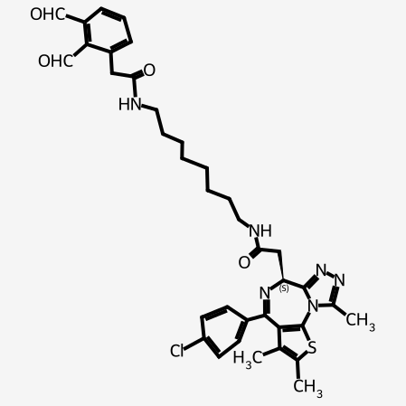 Cc1sc2c(c1C)C(c1ccc(Cl)cc1)=N[C@@H](CC(=O)NCCCCCCCCNC(=O)Cc1cccc(C=O)c1C=O)c1nnc(C)n1-2